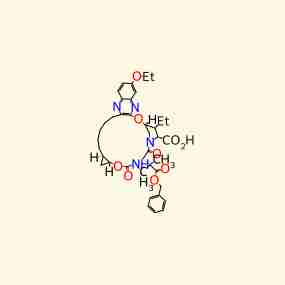 CCOc1ccc2nc3c(nc2c1)O[C@H]1CN(C(=O)[C@H](C(C)(C)C(=O)OCc2ccccc2)NC(=O)O[C@@H]2C[C@H]2CCCCC3)[C@H](C(=O)O)[C@@H]1CC